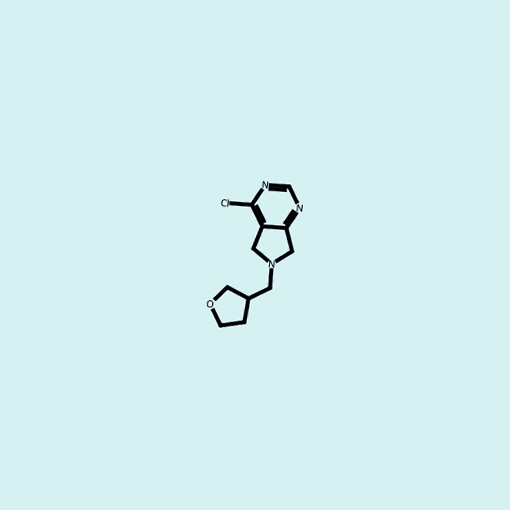 Clc1ncnc2c1CN(CC1CCOC1)C2